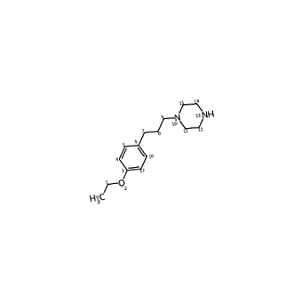 CCOc1ccc(CCCN2CCNCC2)cc1